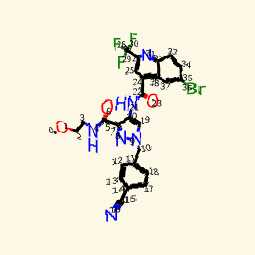 COCCNC(=O)c1nn(Cc2ccc(C#N)cc2)cc1NC(=O)c1cc(C(F)(F)F)nc2ccc(Br)cc12